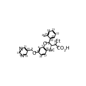 CCC(CC(Oc1cc(OCc2cncnc2)ccc1C(C)=O)c1ccccc1C)C(=O)O